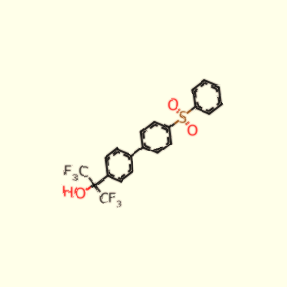 O=S(=O)(c1ccccc1)c1ccc(-c2ccc(C(O)(C(F)(F)F)C(F)(F)F)cc2)cc1